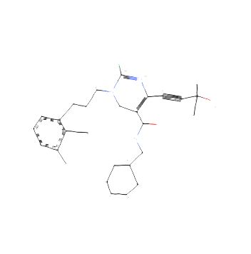 Cc1cccc(CCCN2CC(C(O)NCC3CCCCC3)=C(C#CC(C)(C)O)N=C2Cl)c1C